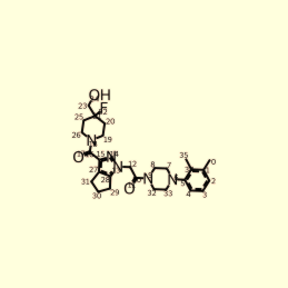 Cc1cccc(N2CCN(C(=O)Cn3nc(C(=O)N4CCC(F)(CO)CC4)c4c3CCC4)CC2)c1C